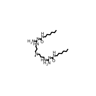 CCCCCCNC(=O)N=C(N)NCCCN(C)CCCNC(N)=NC(=O)NCCCCCC